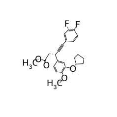 COC(=O)C[C@H](C#Cc1ccc(F)c(F)c1)c1ccc(OC)c(OC2CCCC2)c1